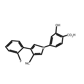 N#Cc1cn(-c2ccc(C(=O)O)c(O)c2)cc1-c1ccccc1F